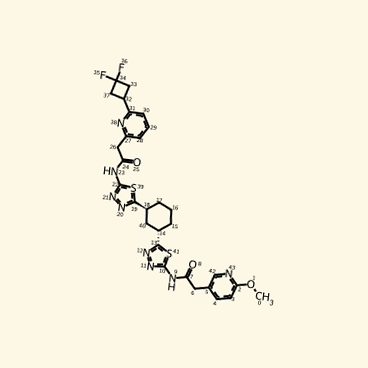 COc1ccc(CC(=O)Nc2nnc([C@H]3CCC[C@H](c4nnc(NC(=O)Cc5cccc(C6CC(F)(F)C6)n5)s4)C3)s2)cn1